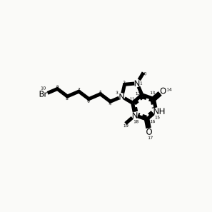 CN1CN(CCCCCCBr)c2c1c(=O)[nH]c(=O)n2C